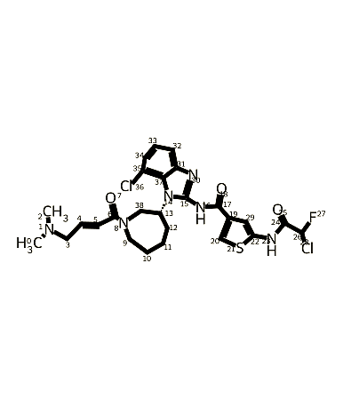 CN(C)C/C=C/C(=O)N1CCCC[C@@H](n2c(NC(=O)c3csc(NC(=O)C(F)Cl)c3)nc3cccc(Cl)c32)C1